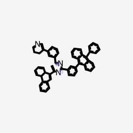 C=C(/N=C(\N=C\c1cccc(C2=CN=CCC2)c1)c1cccc(-c2c3ccccc3c(-c3ccccc3)c3ccccc23)c1)C1=Cc2ccccc2C2C=CC=CC12